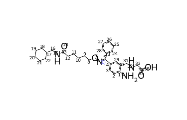 Nc1ccc(/C(=N/OCCCCCC(=O)NCC2CCCCC2)c2ccccc2)cc1CNCC(=O)O